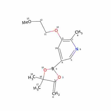 C=C1OB(c2cnc(C)c(OCCOC)c2)OC1(C)C